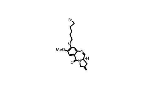 C=C1C[C@H]2C=Nc3cc(OCCCCCBr)c(OC)cc3C(=O)N2C1